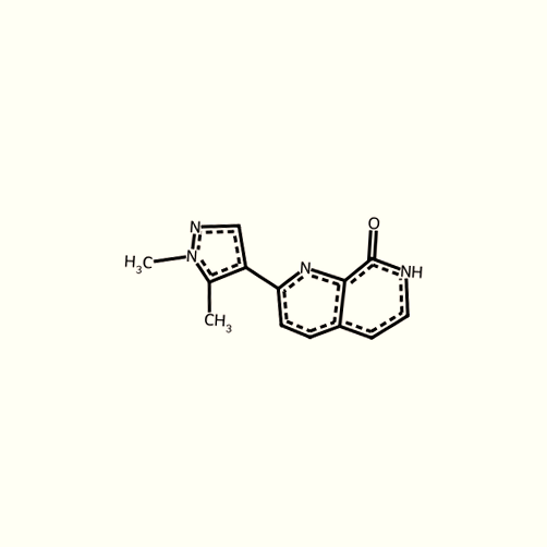 Cc1c(-c2ccc3cc[nH]c(=O)c3n2)cnn1C